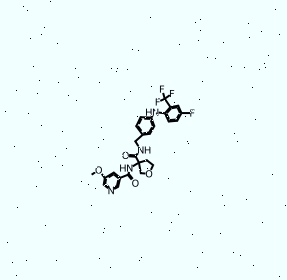 COc1cncc(C(=O)NC2(C(=O)NCc3ccc(Nc4ccc(F)cc4C(F)(F)F)cc3)CCOC2)c1